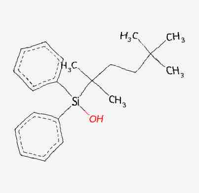 CC(C)(C)CCC(C)(C)[Si](O)(c1ccccc1)c1ccccc1